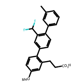 COc1ccc(-c2ccc(-c3cccc(C)c3)c(C(F)F)c2)c(CCC(=O)O)c1